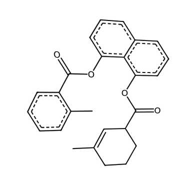 CC1=CC(C(=O)Oc2cccc3cccc(OC(=O)c4ccccc4C)c23)CCC1